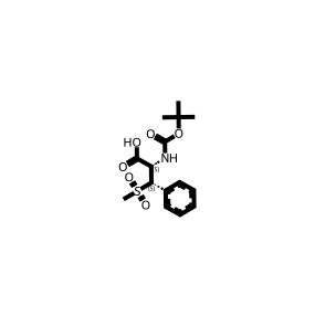 CC(C)(C)OC(=O)N[C@@H](C(=O)O)[C@H](c1ccccc1)S(C)(=O)=O